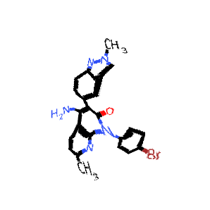 Cc1ccc2c(N)c(-c3ccc4nn(C)cc4c3)c(=O)n(-c3ccc(Br)cc3)c2n1